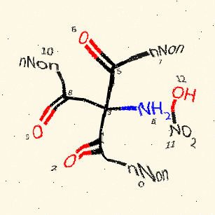 CCCCCCCCCC(=O)C(N)(C(=O)CCCCCCCCC)C(=O)CCCCCCCCC.O=[N+]([O-])O